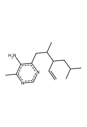 C=CC(CC(C)C)C(C)Cc1ncnc(C)c1N